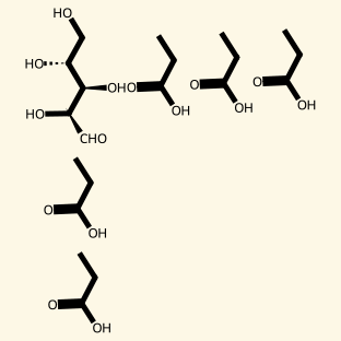 CCC(=O)O.CCC(=O)O.CCC(=O)O.CCC(=O)O.CCC(=O)O.O=C[C@@H](O)[C@H](O)[C@H](O)CO